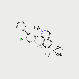 Cc1cc(F)c(-c2ccccc2)cc1-c1c2ccc([Si](C)(C)C)cc2cc[n+]1C